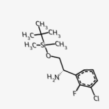 CC(C)(C)[Si](C)(C)OC[C@@H](N)c1cccc(Cl)c1F